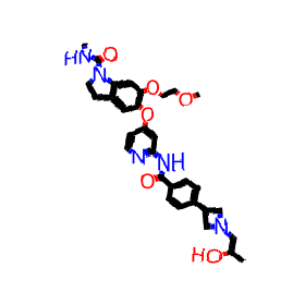 CNC(=O)N1CCc2cc(Oc3ccnc(NC(=O)c4ccc(C5CN(CC(C)O)C5)cc4)c3)c(OCCOC)cc21